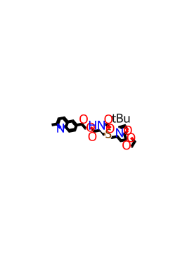 Cc1ccc2cc(C(=O)COC(=O)[C@H](CSCCCC3(c4ncco4)OCCO3)NC(=O)OC(C)(C)C)ccc2n1